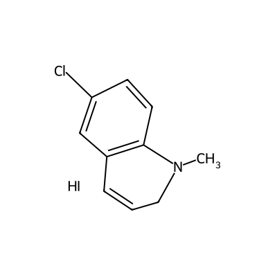 CN1CC=Cc2cc(Cl)ccc21.I